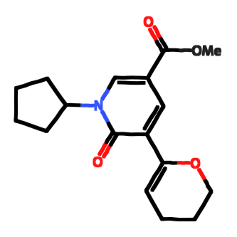 COC(=O)c1cc(C2=CCCCO2)c(=O)n(C2CCCC2)c1